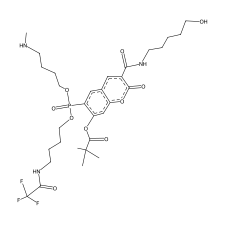 CNCCCCOP(=O)(OCCCCNC(=O)C(F)(F)F)c1cc2cc(C(=O)NCCCCCO)c(=O)oc2cc1OC(=O)C(C)(C)C